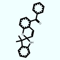 CC1(C)c2ccccc2NC12C=Cc1c(cccc1C(=O)c1ccccc1)O2